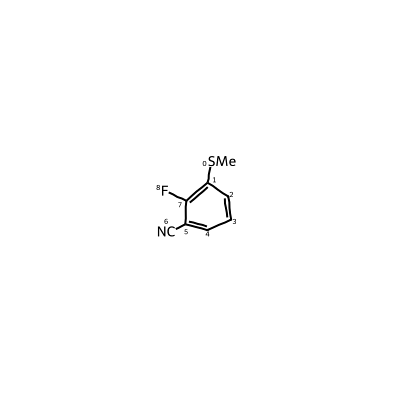 CSc1cccc(C#N)c1F